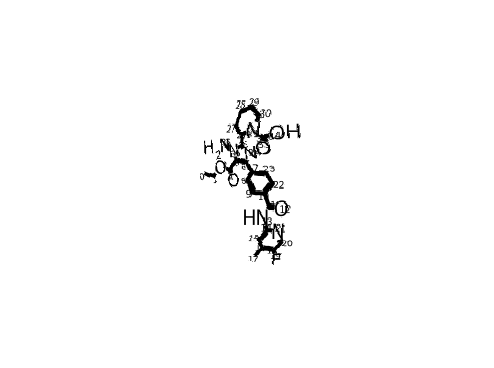 CCOC(=O)c1c(-c2ccc(C(=O)Nc3cc(C)c(F)cn3)cc2)nc(C2CCCCN2C(=O)O)n1N